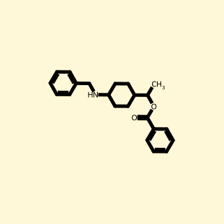 CC(OC(=O)c1ccccc1)C1CCC(NCc2ccccc2)CC1